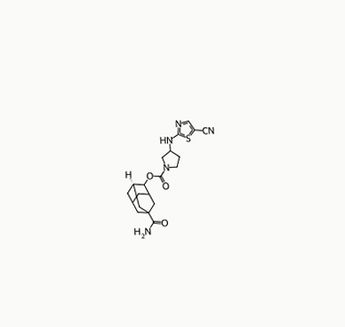 N#Cc1cnc(NC2CCN(C(=O)OC3C4CC5C[C@@H]3CC(C(N)=O)(C5)C4)C2)s1